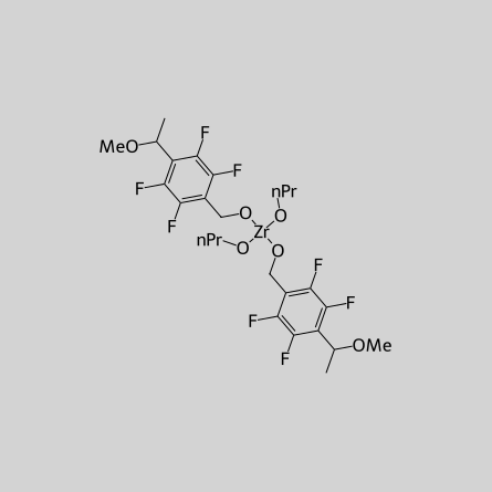 CCC[O][Zr]([O]CCC)([O]Cc1c(F)c(F)c(C(C)OC)c(F)c1F)[O]Cc1c(F)c(F)c(C(C)OC)c(F)c1F